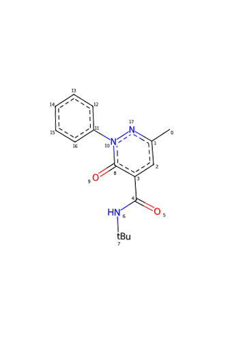 Cc1cc(C(=O)NC(C)(C)C)c(=O)n(-c2ccccc2)n1